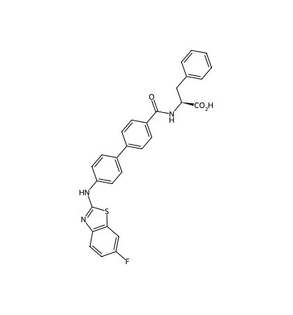 O=C(N[C@@H](Cc1ccccc1)C(=O)O)c1ccc(-c2ccc(Nc3nc4ccc(F)cc4s3)cc2)cc1